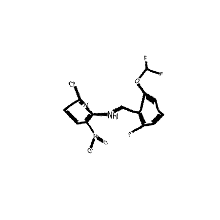 O=[N+]([O-])c1ccc(Cl)nc1NCc1c(F)cccc1OC(F)F